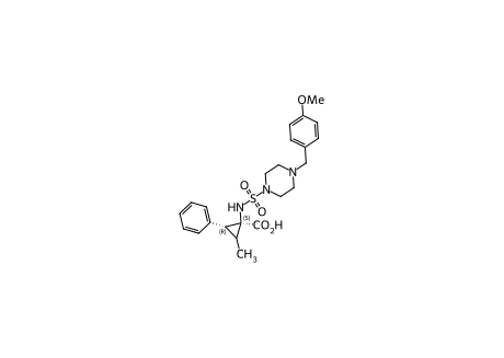 COc1ccc(CN2CCN(S(=O)(=O)N[C@@]3(C(=O)O)C(C)[C@@H]3c3ccccc3)CC2)cc1